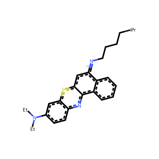 CCN(CC)c1ccc2nc3c4ccccc4/c(=N\CCCCC(C)C)cc-3sc2c1